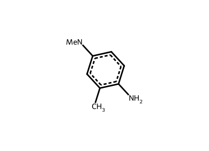 CNc1ccc(N)c(C)c1